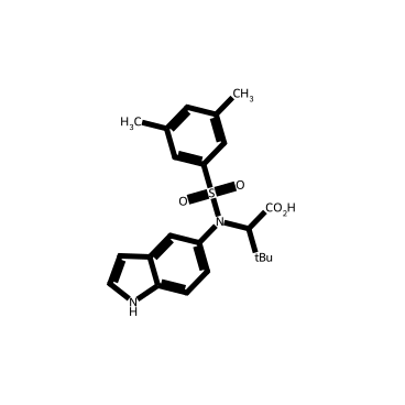 Cc1cc(C)cc(S(=O)(=O)N(c2ccc3[nH]ccc3c2)C(C(=O)O)C(C)(C)C)c1